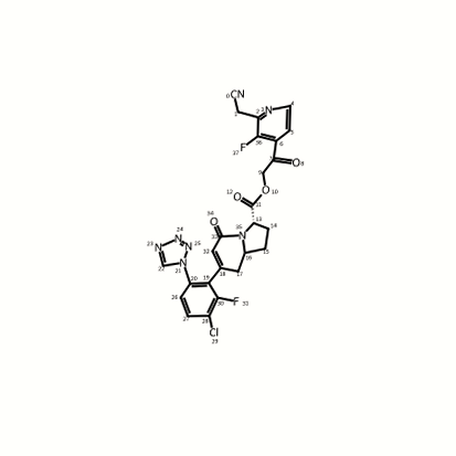 N#CCc1nccc(C(=O)COC(=O)[C@@H]2CCC3CC(c4c(-n5cnnn5)ccc(Cl)c4F)=CC(=O)N32)c1F